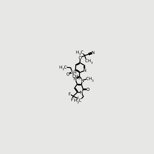 CCn1c(C(F)(F)F)cc2nc(-c3ncc(OC(C)(C)C#N)cc3[SH](C)(=O)CC)n(C)c2c1=O